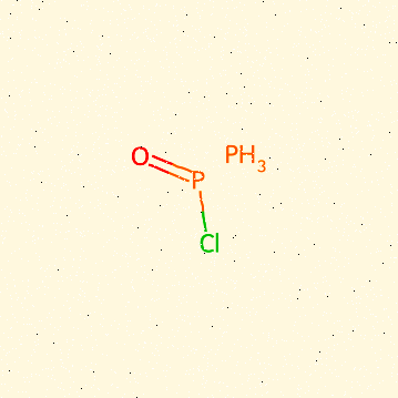 O=PCl.P